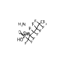 N.O=P(O)(O)C(F)(F)C(F)(F)C(F)(F)C(F)(F)C(F)(F)C(F)(F)F